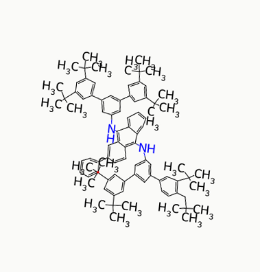 CC(C)(C)Cc1ccc(-c2cc(Nc3c4ccccc4c(Nc4cc(-c5cc(C(C)(C)C)cc(C(C)(C)C)c5)cc(-c5cc(C(C)(C)C)cc(C(C)(C)C)c5)c4)c4cc(-c5ccccc5)ccc34)cc(-c3cc(C(C)(C)C)cc(C(C)(C)C)c3)c2)cc1C(C)(C)C